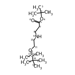 CC(C)(C)OC(=O)CCNCCO[Si](C)(C)C(C)(C)C